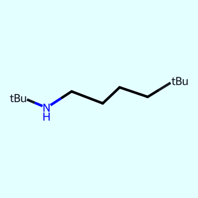 CC(C)(C)CCCCNC(C)(C)C